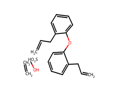 C=C.C=CCc1ccccc1Oc1ccccc1CC=C.O=S(=O)(O)O